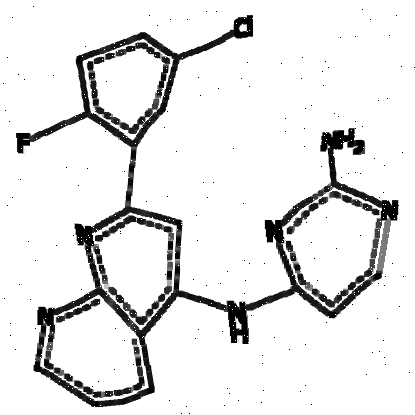 Nc1nccc(Nc2cc(-c3cc(Cl)ccc3F)nc3ncccc23)n1